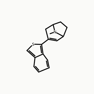 CN1C2C=C(c3scc4ccccc34)CC1CC2